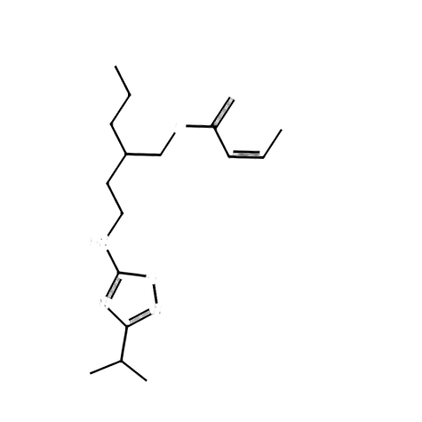 C=C(/C=C\C)OCC(CCC)CCNc1nc(C(C)C)no1